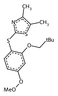 COOc1ccc(Sc2nc(C)c(C)s2)c(OCC(C)(C)C)c1